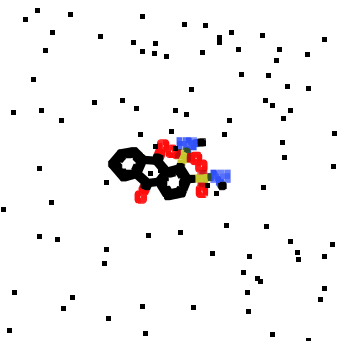 CNS(=O)(=O)c1ccc2c(c1S(=O)(=O)NC)C(=O)c1ccccc1C2=O